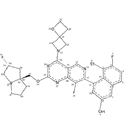 CCc1c(F)ccc2cc(O)cc(-c3ncc4c(N5CC6(CCO6)C5)nc(OC[C@@]56CCCN5C[C@H](F)C6)nc4c3F)c12